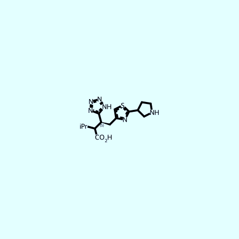 CC(C)C(C(=O)O)[C@H](Cc1csc(C2CCNC2)n1)c1nnn[nH]1